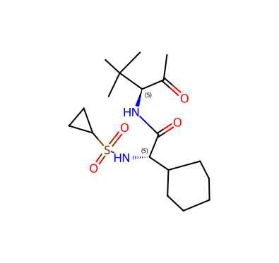 CC(=O)[C@@H](NC(=O)[C@@H](NS(=O)(=O)C1CC1)C1CCCCC1)C(C)(C)C